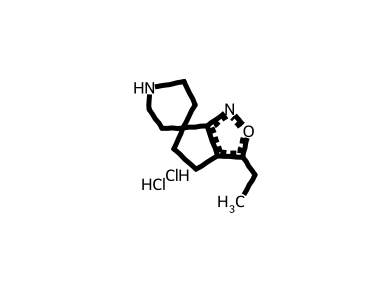 CCc1onc2c1CCC21CCNCC1.Cl.Cl